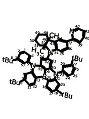 CC(C)(C)c1cccc(N2c3cc(C(C)(C)C)ccc3B3c4ccc(C(C)(C)C)cc4N(c4cccc(C(C)(C)C)c4)c4cc(N5c6ccc(-c7ccccn7)cc6C6(C)CCCCC56C)cc2c43)c1